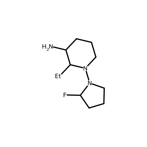 CCC1C(N)CCCN1N1CCCC1F